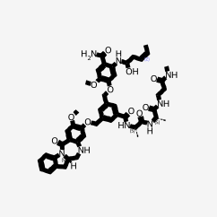 C/C=C\CC(O)Nc1cc(OCc2cc(COc3cc4c(cc3OC)C(=O)N3c5ccccc5C[C@H]3CN4)cc(C(=O)N[C@@H](C)C(=O)N[C@@H](C)C(=O)NCCC(=O)NC)c2)c(OC)cc1C(N)=O